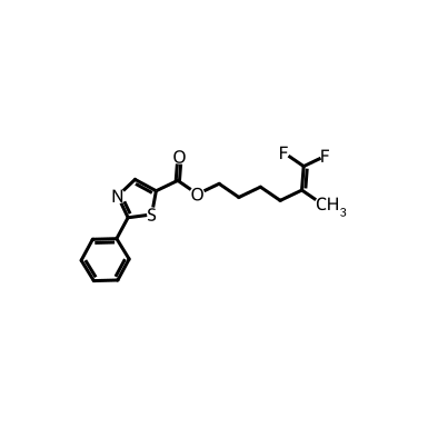 CC(CCCCOC(=O)c1cnc(-c2ccccc2)s1)=C(F)F